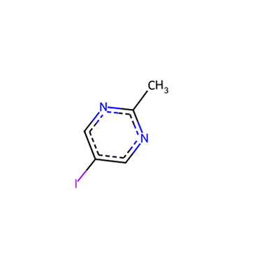 Cc1ncc(I)cn1